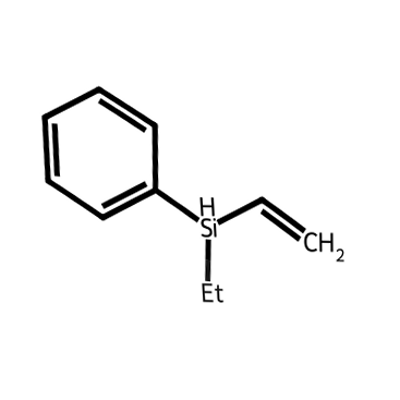 C=C[SiH](CC)c1ccccc1